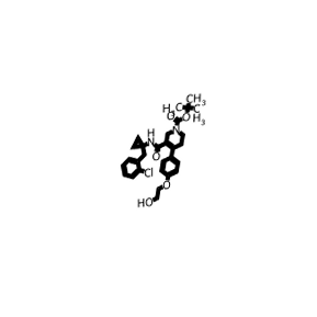 CC(C)(C)OC(=O)N1CCC(c2ccc(OCCO)cc2)=C(C(=O)NC2(Cc3ccccc3Cl)CC2)C1